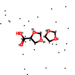 C1COCO1.O=C(O)C1COCO1